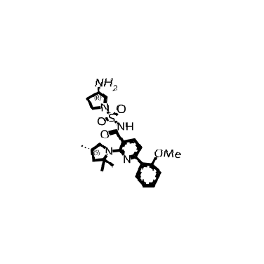 COc1ccccc1-c1ccc(C(=O)NS(=O)(=O)N2CC[C@@H](N)C2)c(N2C[C@@H](C)CC2(C)C)n1